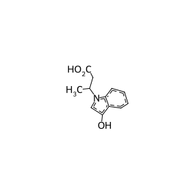 CC(CC(=O)O)n1cc(O)c2ccccc21